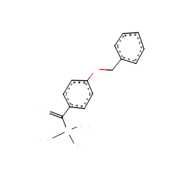 C=[C](c1ccc(OCc2ccccc2)cc1)[Sn]([CH2]CCC)([CH2]CCC)[CH2]CCC